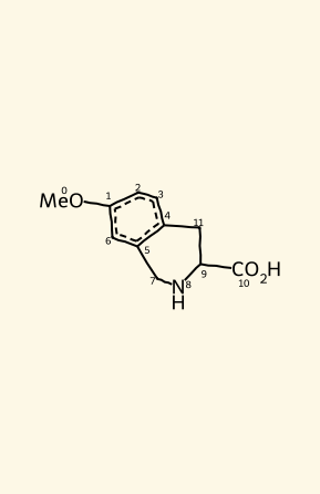 COc1ccc2c(c1)CNC(C(=O)O)C2